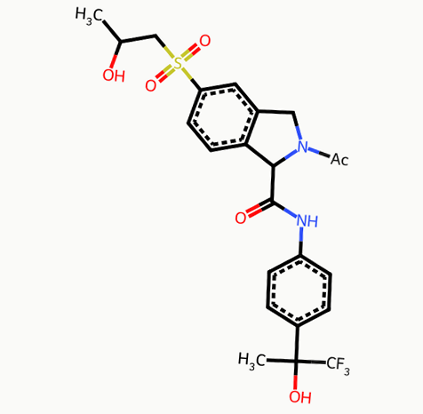 CC(=O)N1Cc2cc(S(=O)(=O)CC(C)O)ccc2C1C(=O)Nc1ccc(C(C)(O)C(F)(F)F)cc1